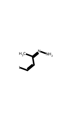 CC(/C=C\I)=N/N